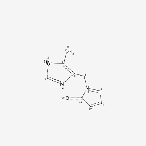 Cc1[nH]cnc1C[N+]1=CC=CC1=O